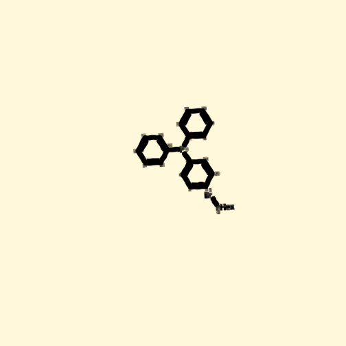 CCCCCCBr.c1ccc(P(c2ccccc2)c2ccccc2)cc1